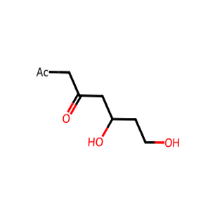 CC(=O)CC(=O)CC(O)CCO